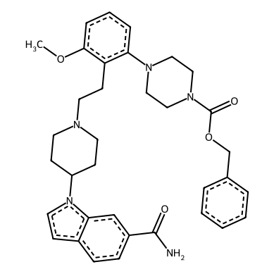 COc1cccc(N2CCN(C(=O)OCc3ccccc3)CC2)c1CCN1CCC(n2ccc3ccc(C(N)=O)cc32)CC1